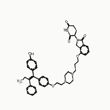 CCC(=C(c1ccc(O)cc1)c1ccc(OCCN2CCN(CCCOc3cccc4c3CN(C3CCC(=O)NC3=O)C4=O)CC2)cc1)c1ccccc1